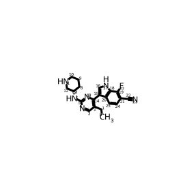 CCc1cnc(N[C@H]2CCCNC2)nc1-c1c[nH]c2c(F)c(C#N)ccc12